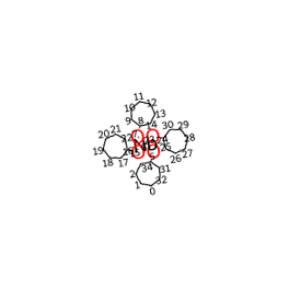 C1CCCC([O][Nb]([O]C2CCCCCC2)([O]C2CCCCCC2)[O]C2CCCCCC2)CC1